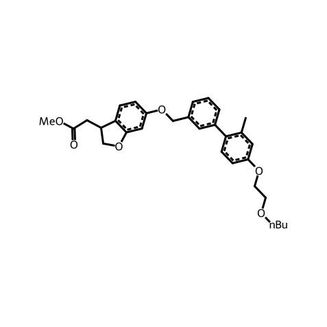 CCCCOCCOc1ccc(-c2cccc(COc3ccc4c(c3)OCC4CC(=O)OC)c2)c(C)c1